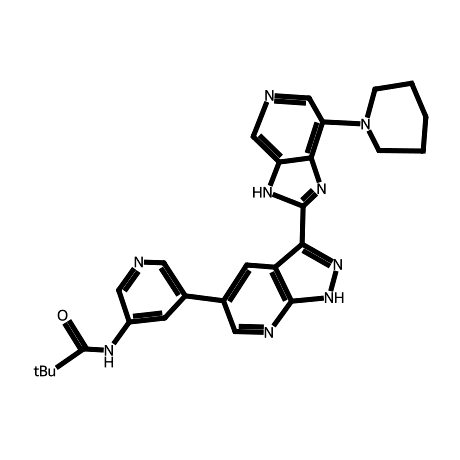 CC(C)(C)C(=O)Nc1cncc(-c2cnc3[nH]nc(-c4nc5c(N6CCCCC6)cncc5[nH]4)c3c2)c1